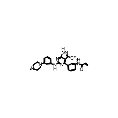 C=CC(=O)Nc1cccc(-c2nc(Nc3cccc(N4CCN(C)CC4)c3)nc3[nH]nc(C(F)(F)F)c23)c1